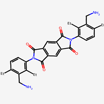 CCc1ccc(-n2c(=O)c3cc4c(=O)n(-c5ccc(CC)c(CN)c5CC)c(=O)c4cc3c2=O)c(CC)c1CN